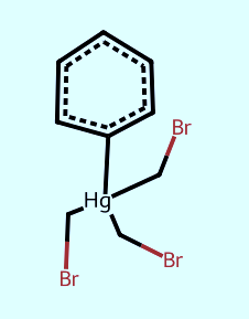 Br[CH2][Hg]([CH2]Br)([CH2]Br)[c]1ccccc1